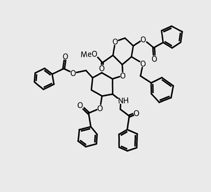 COC(=O)C1OCC(OC(=O)c2ccccc2)C(OCc2ccccc2)C1OC1CC(COC(=O)c2ccccc2)CC(OC(=O)c2ccccc2)C1NCC(=O)c1ccccc1